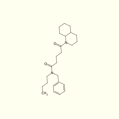 CCCCN(Cc1ccccc1)C(=O)CCCC(=O)N1CCCC2CCCCC21